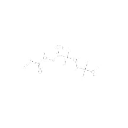 C=CC(=O)OCC(O)C(C)(C)OCC(C)(C)OC